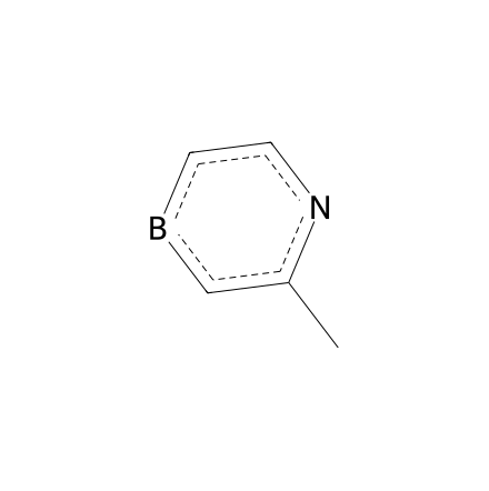 Cc1cbccn1